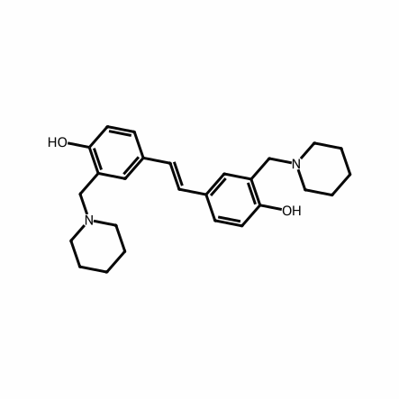 Oc1ccc(/C=C/c2ccc(O)c(CN3CCCCC3)c2)cc1CN1CCCCC1